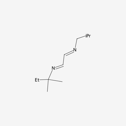 CCC(C)(C)N=CC=NCC(C)C